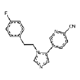 N#Cc1ccc(-c2cncn2CCc2ccc(F)cc2)cn1